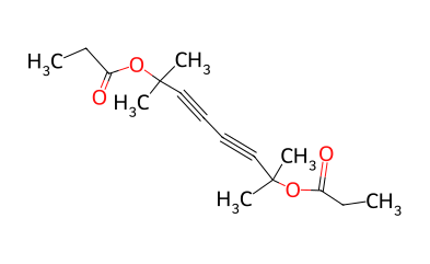 CCC(=O)OC(C)(C)C#CC#CC(C)(C)OC(=O)CC